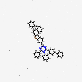 c1ccc(-c2ccc(-c3nc(-c4ccc5c(c4)sc4cc6c7c(cccc7c45)-c4ccccc4-6)nc(-c4ccccc4-c4ccccc4)n3)cc2)cc1